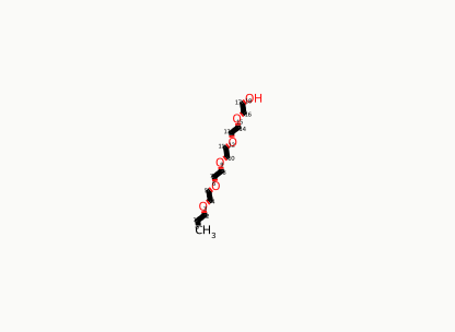 CCCOCCOCCOCCOCCOCCO